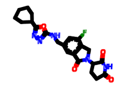 O=C1CCC(N2Cc3c(F)cc(CNc4nnc(C5CCCCC5)o4)cc3C2=O)C(=O)N1